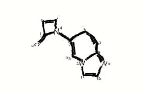 O=C1C=CN1c1ccc2nccn2c1